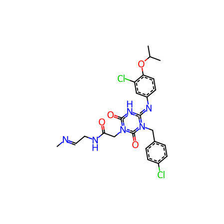 C/N=C/CNC(=O)Cn1c(=O)[nH]/c(=N\c2ccc(OC(C)C)c(Cl)c2)n(Cc2ccc(Cl)cc2)c1=O